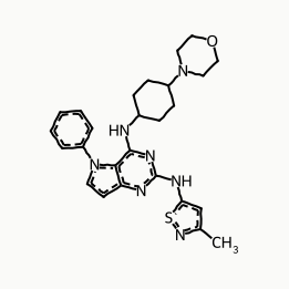 Cc1cc(Nc2nc(NC3CCC(N4CCOCC4)CC3)c3c(ccn3-c3ccccc3)n2)sn1